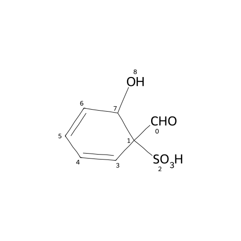 O=CC1(S(=O)(=O)O)C=CC=CC1O